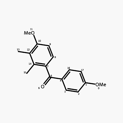 COc1ccc(C(=O)c2ccc(OC)c(C)c2C)cc1